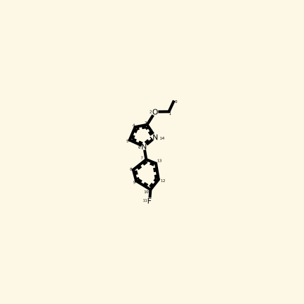 CCOc1ccn(-c2ccc(F)cc2)n1